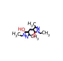 CCN1N=C(C)/C(=C/c2c(C)nn(CC)c2O)C1=O